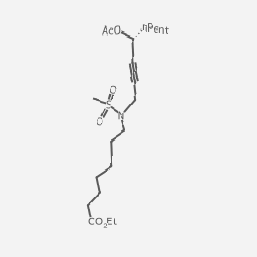 CCCCC[C@H](C#CCN(CCCCCCC(=O)OCC)S(C)(=O)=O)OC(C)=O